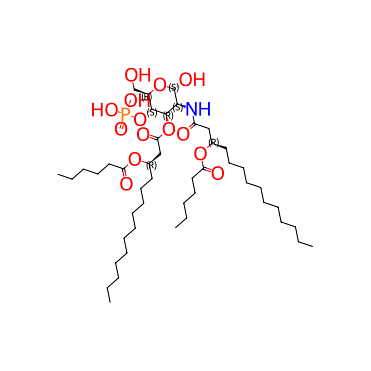 CCCCCCCCCCC[C@H](CC(=O)N[C@H]1[C@@H](OC(=O)C[C@@H](CCCCCCCCCCC)OC(=O)CCCCC)[C@H](OP(=O)(O)O)[C@@H](CO)O[C@@H]1O)OC(=O)CCCCC